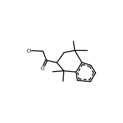 CC1(C)CC(C(=O)CCl)C(C)(C)c2ccccc21